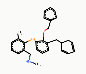 CNCc1cccc(C)c1Pc1cccc(CC2C=CC=CC2)c1OCc1ccccc1